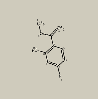 C=C(OC)c1ccc(F)cc1O